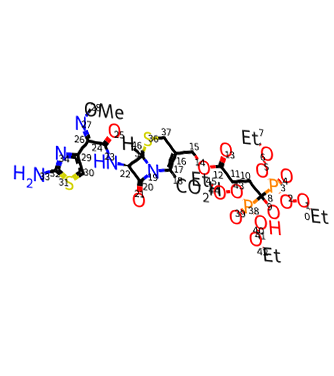 CCOOP(=O)(OOCC)C(O)(CCC(=O)OCC1=C(C(=O)O)N2C(=O)[C@@H](NC(=O)/C(=N\OC)c3csc(N)n3)[C@@H]2SC1)P(=O)(OOCC)OOCC